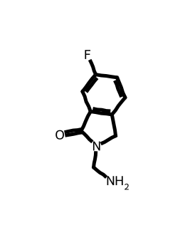 NCN1Cc2ccc(F)cc2C1=O